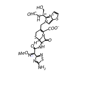 CO/N=C(\C(=O)N[C@@H]1C(=O)N2C(C(=O)[O-])=C(Cn3cc4scc[n+]4c3[C@H](CO)NC=O)CS[C@H]12)c1nsc(N)n1